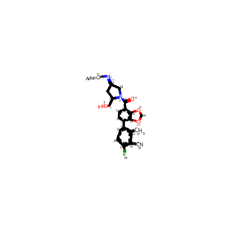 CO/N=C1\CC(CO)N(C(=O)c2ccc(-c3ccc(F)c(C#N)c3C)c3c2OCO3)C1